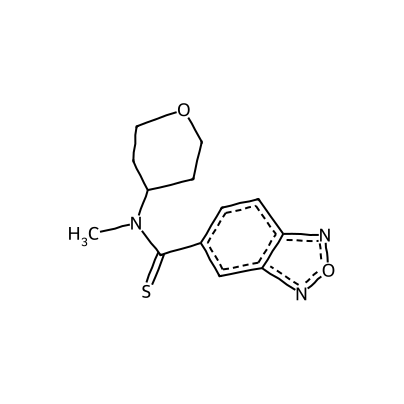 CN(C(=S)c1ccc2nonc2c1)C1CCOCC1